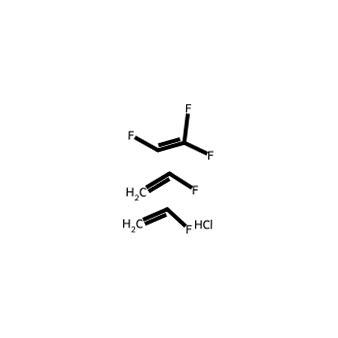 C=CF.C=CF.Cl.FC=C(F)F